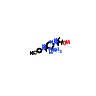 Cc1nn(-c2cc(N)[nH]c3c(C)n(-c4ccc(C#N)cc4)nc3ccn2)c(C)c1C(C)(C)O